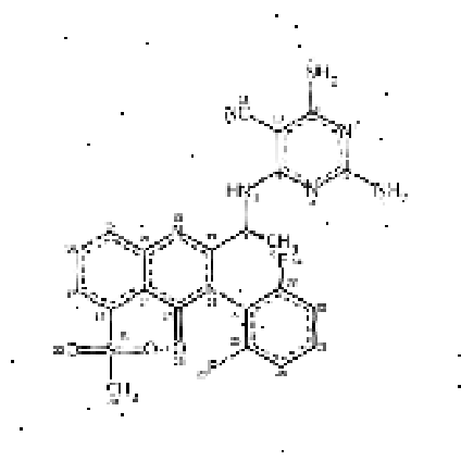 C[C@H](Nc1nc(N)nc(N)c1C#N)c1nc2cccc(S(C)(=O)=O)c2c(=O)n1-c1c(F)cccc1F